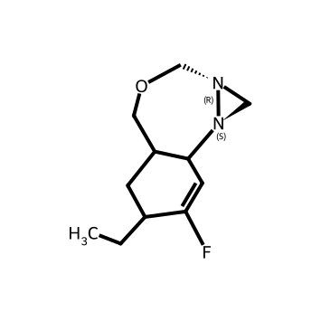 CCC1CC2COC[N@]3C[N@@]3C2C=C1F